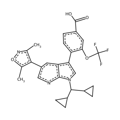 Cc1noc(C)c1-c1cnc2c(c1)c(-c1ccc(C(=O)O)cc1OC(F)(F)F)cn2C(C1CC1)C1CC1